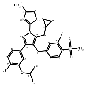 NS(=O)(=O)c1ccc(Cc2c(-c3ccc(F)c(OC(F)F)c3)nn(-c3nc(C(=O)O)cs3)c2CC2CC2)cc1F